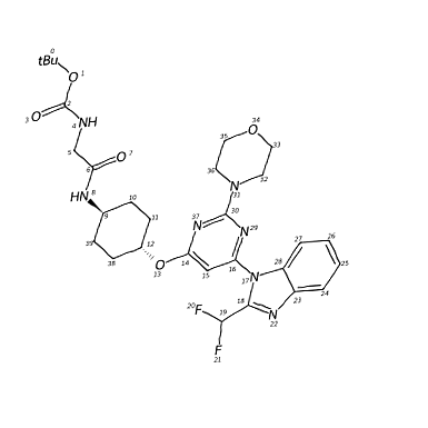 CC(C)(C)OC(=O)NCC(=O)N[C@H]1CC[C@H](Oc2cc(-n3c(C(F)F)nc4ccccc43)nc(N3CCOCC3)n2)CC1